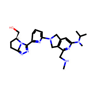 CNCc1nc(N(C)C(C)C)cc2c1CN(c1cccc(-c3nnc4n3[C@H](CO)CC4)n1)C2